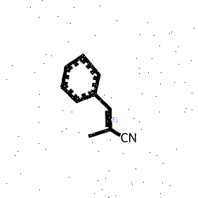 C/C(C#N)=C\c1ccccc1